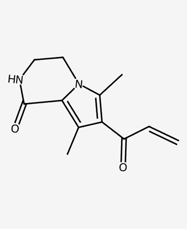 C=CC(=O)c1c(C)c2n(c1C)CCNC2=O